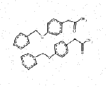 CC(=O)Cc1ccc(OCc2ccncc2)cc1.CC(=O)Cc1ccc(OCc2ccncc2)cc1